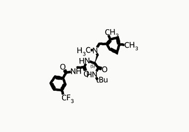 Cc1ccc(CN(C)C[C@H](NC(=O)CNC(=O)c2cccc(C(F)(F)F)c2)C(=O)NC(C)(C)C)c(C)c1